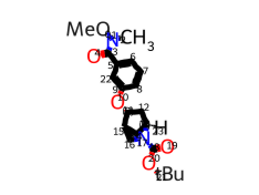 CON(C)C(=O)c1cccc(O[C@@H]2C[C@@H]3CC2=CN3C(=O)OC(C)(C)C)c1